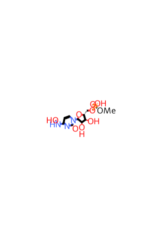 COP(=O)(O)OC[C@H]1OC(n2ccc(NO)nc2=O)[C@H](O)[C@@H]1O